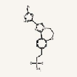 CC(C)c1n[nH]c(-c2cn3c(n2)-c2ccc(CCS(N)(=O)=O)cc2OCC3)n1